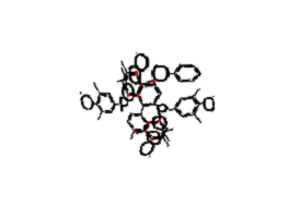 COc1c(C)cc(P(c2cc(C)c(OC)c(C)c2)c2cc(C)c3c(c2-c2c(P(c4cc(C)c(OC)c(C)c4)c4cc(C)c(OC)c(C)c4)cc(Oc4ccccc4)c4c2OC(C)(C)O4)OC(C)(C)O3)cc1C